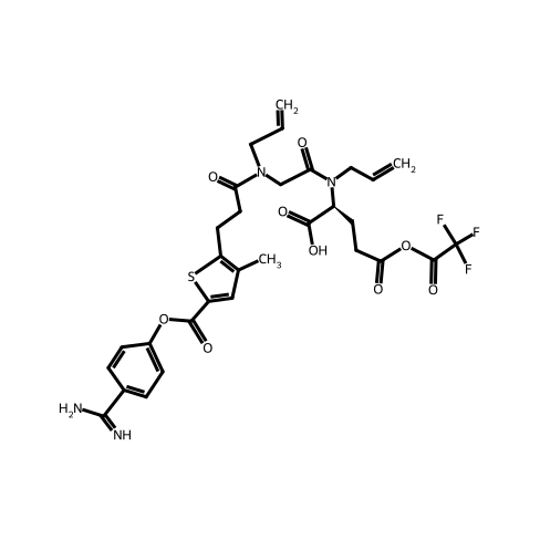 C=CCN(CC(=O)N(CC=C)[C@@H](CCC(=O)OC(=O)C(F)(F)F)C(=O)O)C(=O)CCc1sc(C(=O)Oc2ccc(C(=N)N)cc2)cc1C